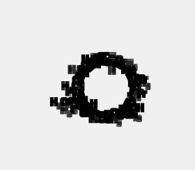 C/C=C/C[C@@H](C)[C@@H](O)[C@H]1C(=O)N[C@@H](CC)C(=O)N(C)CC(=O)N(C)[C@@H]([C@@H](C)O)C(=O)N[C@@H](C(C)C)C(=O)N(C)[C@@H](CC(C)C)C(=O)N[C@@H](C)C(=O)N[C@H](C)C(=O)N(C)[C@@H](CC(C)C)C(=O)N(C)[C@@H](CC(C)C)C(=O)N(C)[C@@H](C(C)C)C(=O)N1C